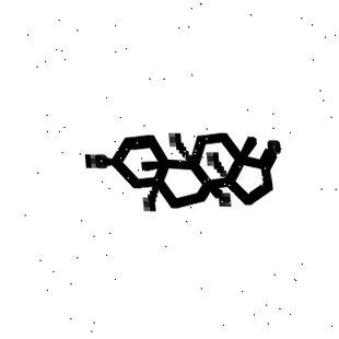 C[C@]12C=C[C@@H](O)C[C@@H]1CC[C@@H]1[C@@H]2CC[C@]2(C)C(=O)CC[C@@H]12